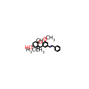 COc1cc(/C=C/c2ccccc2)cc2c1O[C@]1(C)CC[C@@H](O)C(C)(C)[C@H]1C2